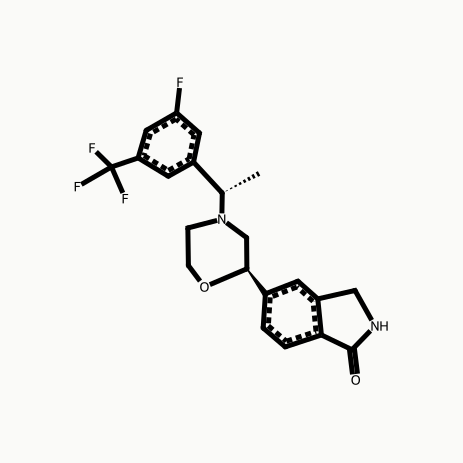 C[C@@H](c1cc(F)cc(C(F)(F)F)c1)N1CCO[C@H](c2ccc3c(c2)CNC3=O)C1